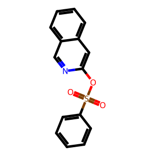 O=S(=O)(Oc1cc2ccccc2cn1)c1ccccc1